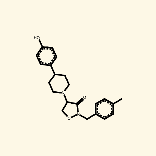 Cc1ccc(CN2OCC(N3CCC(c4ccc(O)cc4)CC3)C2=O)cc1